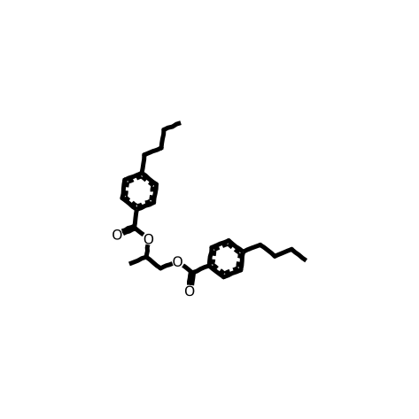 CCCCc1ccc(C(=O)OCC(C)OC(=O)c2ccc(CCCC)cc2)cc1